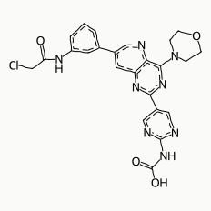 O=C(O)Nc1ncc(-c2nc(N3CCOCC3)c3ncc(-c4cccc(NC(=O)CCl)c4)cc3n2)cn1